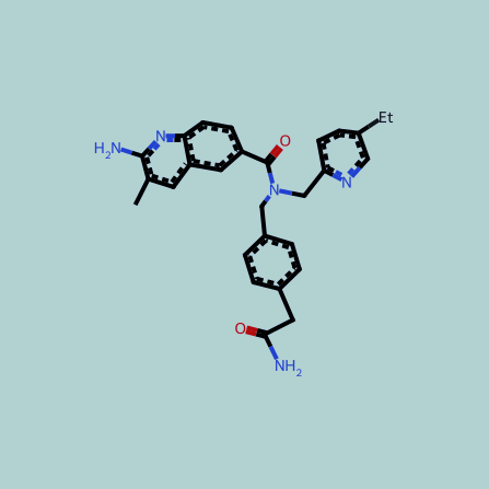 CCc1ccc(CN(Cc2ccc(CC(N)=O)cc2)C(=O)c2ccc3nc(N)c(C)cc3c2)nc1